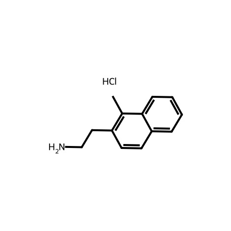 Cc1c(CCN)ccc2ccccc12.Cl